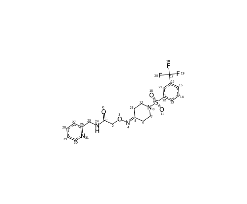 O=C(CON=C1CCN(S(=O)(=O)c2cccc(C(F)(F)F)c2)CC1)NCc1ccccn1